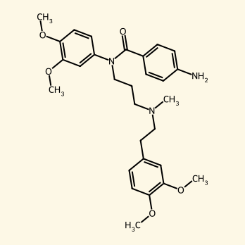 COc1ccc(CCN(C)CCCN(C(=O)c2ccc(N)cc2)c2ccc(OC)c(OC)c2)cc1OC